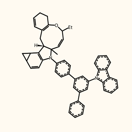 CCC1/C=C\C2(C)[C@@H](CC3=C(CCC=C3)O1)C1=C(C=CC3CC13)N2c1ccc(-c2cc(-c3ccccc3)cc(-n3c4ccccc4c4ccccc43)c2)cc1